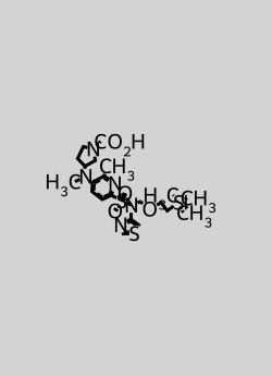 Cc1nc(S(=O)(=O)N(COCC[Si](C)(C)C)c2cscn2)ccc1N(C)C1CCN(C(=O)O)C1